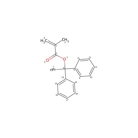 C=C(C)C(=O)OC(CCC)(c1ccccc1)c1ccccc1